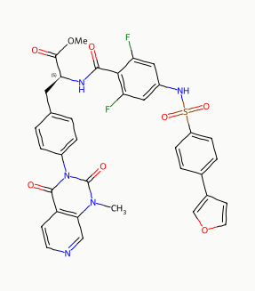 COC(=O)[C@H](Cc1ccc(-n2c(=O)c3ccncc3n(C)c2=O)cc1)NC(=O)c1c(F)cc(NS(=O)(=O)c2ccc(-c3ccoc3)cc2)cc1F